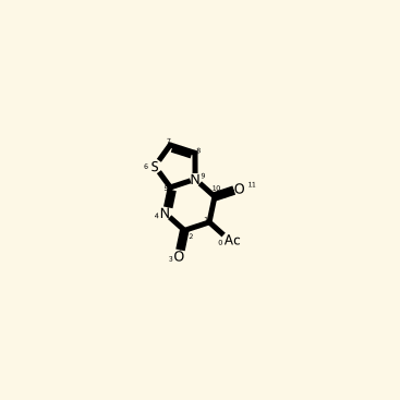 CC(=O)C1C(=O)N=C2SC=CN2C1=O